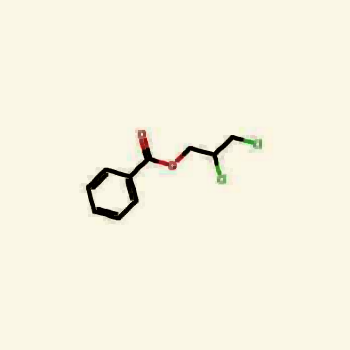 O=C(OCC(Cl)CCl)c1ccccc1